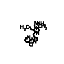 C=C1C=NC(Cc2ccnn2-c2ncccc2Cl)=C(CCC)N1/C=N\N